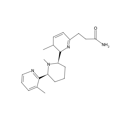 Cc1cccnc1[C@@H]1CCC[C@H](C2N=C(CCC(N)=O)C=CC2C)N1C